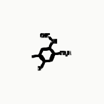 CCOC(=O)c1cc(Br)c(C)cc1NC=O